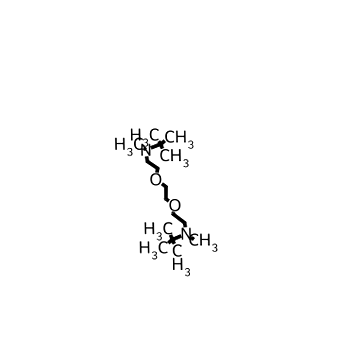 CN(CCOCCOCCN(C)C(C)(C)C)C(C)(C)C